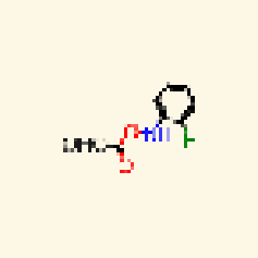 O=CC(=O)ONc1ccccc1F